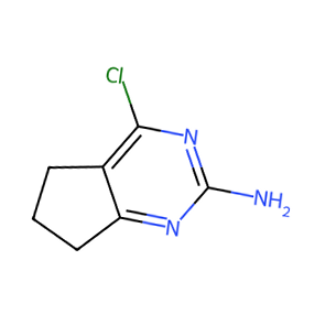 Nc1nc(Cl)c2c(n1)CCC2